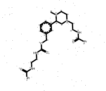 CC(C)C(=O)NCCNC(=O)OCc1cccc(C2CN(CCNC(=O)C(C)C)CCN2C)c1